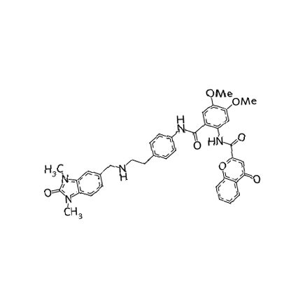 COc1cc(NC(=O)c2cc(=O)c3ccccc3o2)c(C(=O)Nc2ccc(CCNCc3ccc4c(c3)n(C)c(=O)n4C)cc2)cc1OC